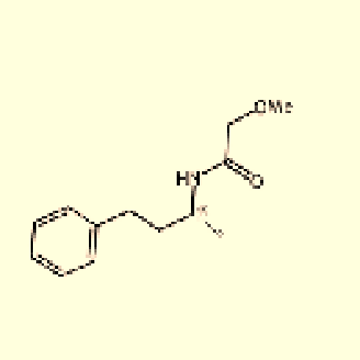 COCC(=O)N[C@H](C)CCc1ccccc1